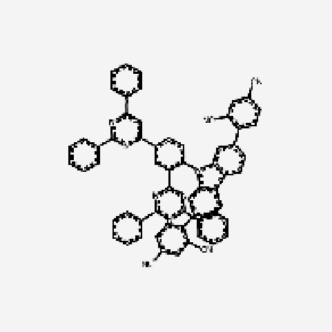 N#Cc1ccc(-c2ccc3c4ccc(-c5ccc(C#N)cc5C#N)cc4n(-c4ccc(-c5cc(-c6ccccc6)nc(-c6ccccc6)n5)cc4-c4nc(-c5ccccc5)nc(-c5ccccc5)n4)c3c2)c(C#N)c1